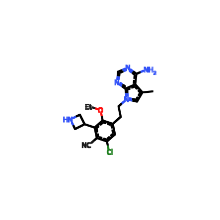 CCOc1c(CCn2cc(C)c3c(N)ncnc32)cc(Cl)c(C#N)c1C1CNC1